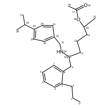 CCCc1ccccc1CN(CCCC(C)OC(C)=O)NCc1ccc(C(C)C)cc1